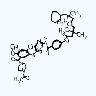 COc1cc(C)c(Sc2cnc(NC(=O)c3ccc(OC(=O)CC(C)(C)COCC(C)(C)CC4CCCCCC4)cc3)s2)cc1C(=O)N1CCN(C(C)=O)CC1